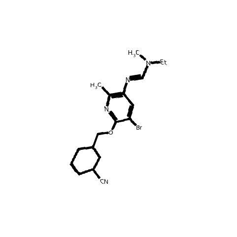 CCN(C)/C=N/c1cc(Br)c(OCC2CCCC(C#N)C2)nc1C